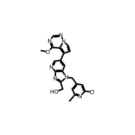 COc1ncnn2ccc(-c3cnc4nc(CO)n(Cc5cc(C)nc(Cl)c5)c4c3)c12